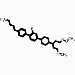 CCCCCc1ccc(-c2ccc(C3CCC(C(CCOC)CCOOC)CC3)cc2F)cc1